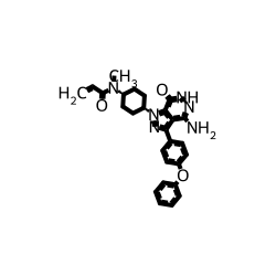 C=CC(=O)N(C)[C@H]1CC[C@@H](n2nc(-c3ccc(Oc4ccccc4)cc3)c3c(N)n[nH]c(=O)c32)CC1